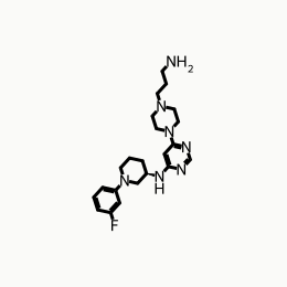 NCCCN1CCN(c2cc(N[C@@H]3CCCN(c4cccc(F)c4)C3)ncn2)CC1